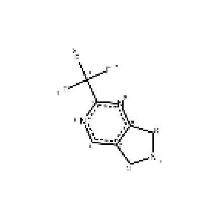 FC(F)(F)c1ncc2c(n1)C[N]C2